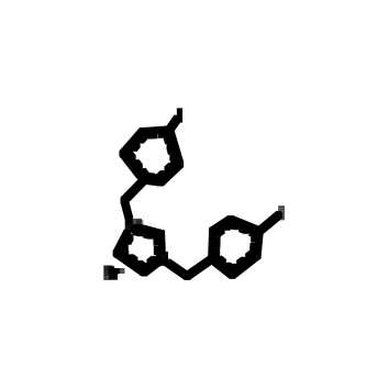 Ic1ccc(Cn2cc[n+](Cc3ccc(I)cc3)c2)cc1.[Br-]